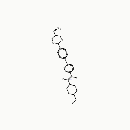 C=CC1COC(c2ccc(-c3ccc(/C(F)=C(\F)C4CCC(CF)CC4)cc3)cc2)OC1